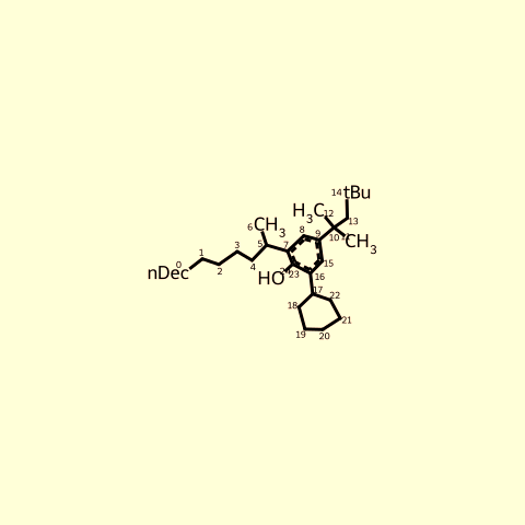 CCCCCCCCCCCCCCC(C)c1cc(C(C)(C)CC(C)(C)C)cc(C2CCCCC2)c1O